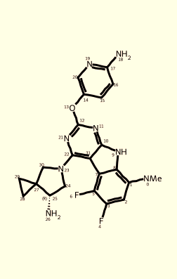 CNc1cc(F)c(F)c2c1[nH]c1nc(Oc3ccc(N)nc3)nc(N3C[C@H](N)C4(CC4)C3)c12